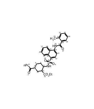 CCCC(=O)N1CCC(NS(=O)(=O)c2ccc(NC(=O)c3ccccc3C)c3ccccc23)C(C(=O)OCC)C1